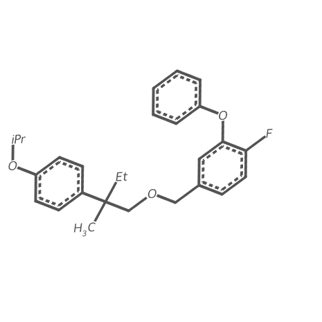 CCC(C)(COCc1ccc(F)c(Oc2ccccc2)c1)c1ccc(OC(C)C)cc1